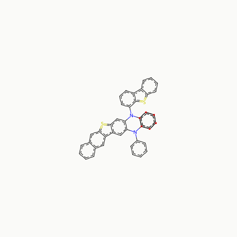 c1ccc(N(c2ccccc2)c2cc3c(cc2N(c2ccccc2)c2cccc4c2sc2ccccc24)sc2cc4ccccc4cc23)cc1